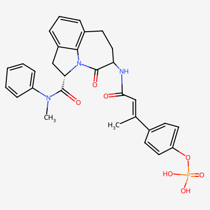 C/C(=C\C(=O)NC1CCc2cccc3c2N(C1=O)[C@H](C(=O)N(C)c1ccccc1)C3)c1ccc(OP(=O)(O)O)cc1